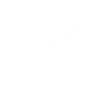 CC(C)C(=O)O.O=[PH](O)O.Oc1ccccc1